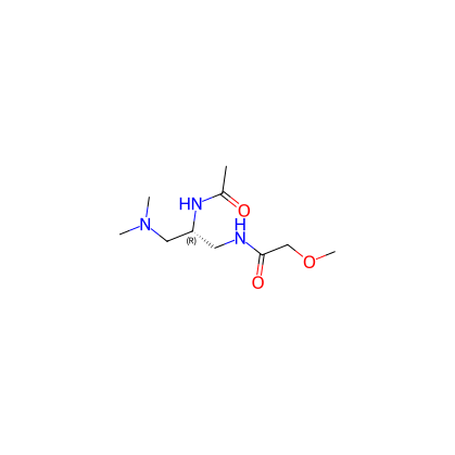 COCC(=O)NC[C@H](CN(C)C)NC(C)=O